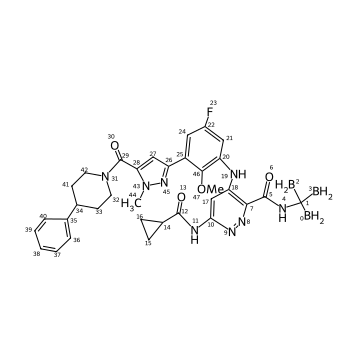 BC(B)(B)NC(=O)c1nnc(NC(=O)C2CC2)cc1Nc1cc(F)cc(-c2cc(C(=O)N3CCC(c4ccccc4)CC3)n(C)n2)c1OC